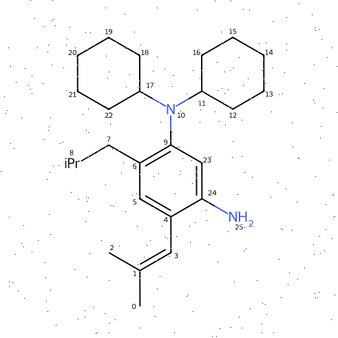 CC(C)=Cc1cc(CC(C)C)c(N(C2CCCCC2)C2CCCCC2)cc1N